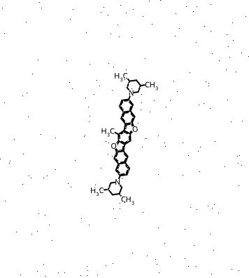 Cc1c2oc3cc4cc(N5CC(C)CC(C)C5)ccc4cc3c2cc2oc3cc4cc(N5CC(C)CC(C)C5)ccc4cc3c12